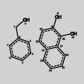 OCc1ccccc1.Oc1ccc2ccccc2c1O